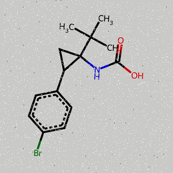 CC(C)(C)C1(NC(=O)O)CC1c1ccc(Br)cc1